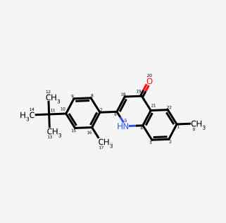 Cc1ccc2[nH]c(-c3ccc(C(C)(C)C)cc3C)cc(=O)c2c1